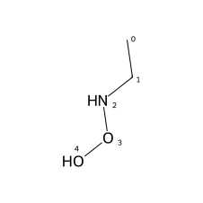 CCNOO